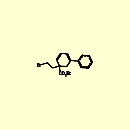 CCOC(=O)C1(CCBr)C=CC=C(c2ccccc2)C1